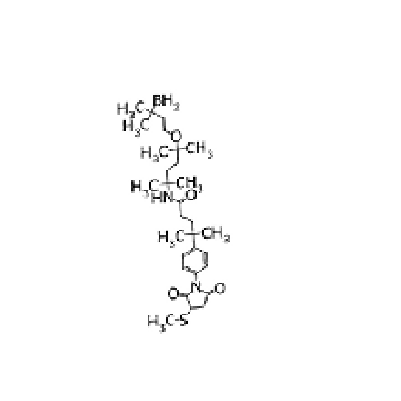 BC(C)(C)CCOC(C)(C)CCC(C)(C)NC(=O)CCC(C)(C)c1ccc(N2C(=O)CC(SC)C2=O)cc1